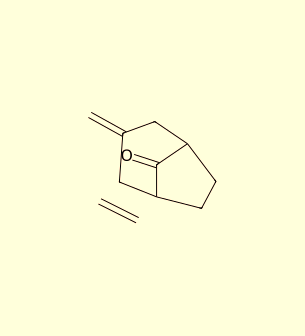 C=C.C=C1CC2CCC(C1)C2=O